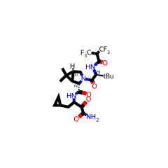 CC(C)(C)[C@H](NC(=O)C(C(F)(F)F)C(F)(F)F)C(=O)N1C[C@H]2C([C@H]1C(=O)NC(CC1CC1)C(=O)C(N)=O)C2(C)C